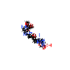 CC(C)[C@H](NC(=O)O)C(=O)N1[C@@H](C)CC[C@H]1c1nc2ccc3cc4c(cc3c2[nH]1)OCc1cc(-c2cnc([C@@H]3CC[C@H](C)N3C(=O)[C@@H](NC(=O)OC(C)(C)C)C3(C)CCOCC3)[nH]2)ccc1-4